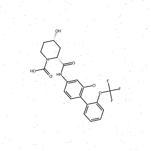 O=C(Nc1ccc(-c2ccccc2OC(F)(F)F)c(Cl)c1)[C@H]1C[C@@H](O)CCN1C(=O)O